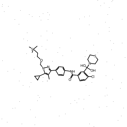 Cc1c(-c2ccc(NC(=O)c3ccc(Cl)c(C(O)(O)N4CCSCC4)c3)cc2)nn(COCC[Si](C)(C)C)c1C1CC1